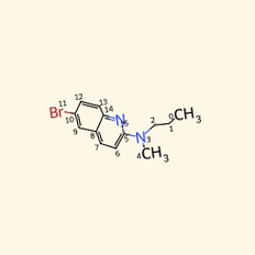 CCCN(C)c1ccc2cc(Br)ccc2n1